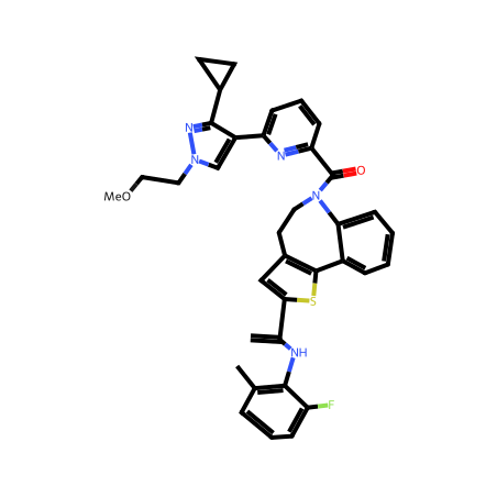 C=C(Nc1c(C)cccc1F)c1cc2c(s1)-c1ccccc1N(C(=O)c1cccc(-c3cn(CCOC)nc3C3CC3)n1)CC2